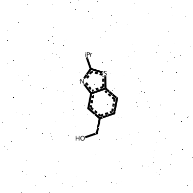 CC(C)c1nc2cc(CO)ccc2s1